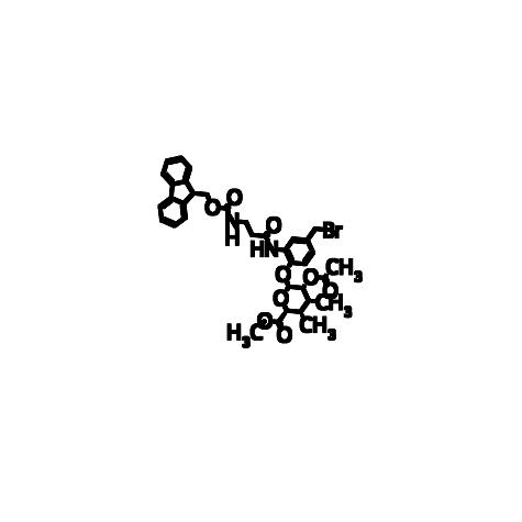 COC(=O)[C@H]1O[C@@H](Oc2ccc(CBr)cc2NC(=O)CCNC(=O)OCC2c3ccccc3-c3ccccc32)[C@H](OC(C)=O)[C@@H](C)[C@@H]1C